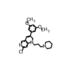 COc1cc(OC)cc(C2=Cc3cnc(Cl)cc3N(CCCN3CCCCC3)C2)c1